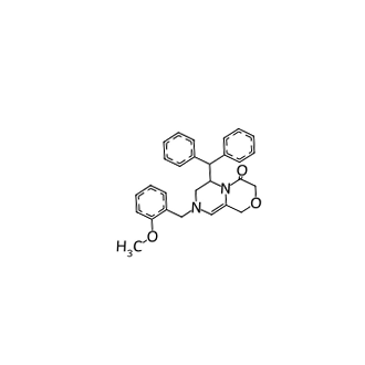 COc1ccccc1CN1C=C2COCC(=O)N2C(C(c2ccccc2)c2ccccc2)C1